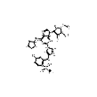 NS(=O)(=O)c1ccc(F)cc1Cc1cn(-c2nc(NC3CCCC3)c3ncn(C4O[C@H](CO)[C@@H](O)[C@H]4O)c3n2)nn1